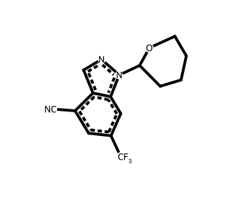 N#Cc1cc(C(F)(F)F)cc2c1cnn2C1CCCCO1